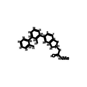 CNC(=O)CN1Cc2ccc(-c3cccc(-c4ccccc4C)c3C)cc2C1